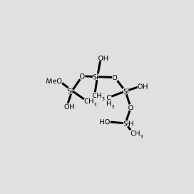 CO[Si](C)(O)O[Si](C)(O)O[Si](C)(O)O[SiH](C)O